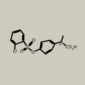 C[C@@H](C(=O)O)c1ccc(OS(=O)(=O)c2ccccc2Cl)cc1